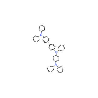 c1ccc(-n2c3ccccc3c3cc(-c4ccc5c(c4)c4ccccc4n5-c4ccc(-n5c6ccccc6c6ccccc65)cc4)ccc32)cc1